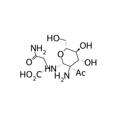 CC(=O)[C@]1(N)[C@H](N[C@@H](CC(N)=O)C(=O)O)O[C@H](CO)[C@@H](O)[C@@H]1O